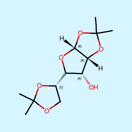 CC1(C)O[C@H]2OC([C@@H]3COC(C)(C)O3)[C@@H](O)[C@H]2O1